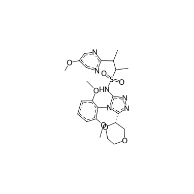 COc1cnc(C(C)C(C)S(=O)(=O)Nc2nnc([C@@H]3COCCO3)n2-c2c(OC)cccc2OC)nc1